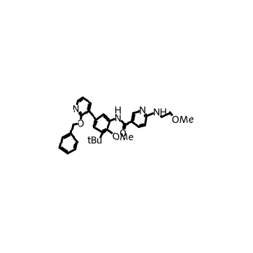 COCCNc1ccc(C(=O)Nc2cc(-c3cccnc3OCc3ccccc3)cc(C(C)(C)C)c2OC)cn1